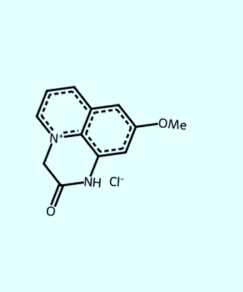 COc1cc2c3c(ccc[n+]3CC(=O)N2)c1.[Cl-]